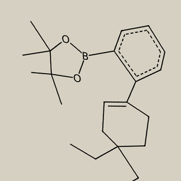 CCC1(CC)CC=C(c2ccccc2B2OC(C)(C)C(C)(C)O2)CC1